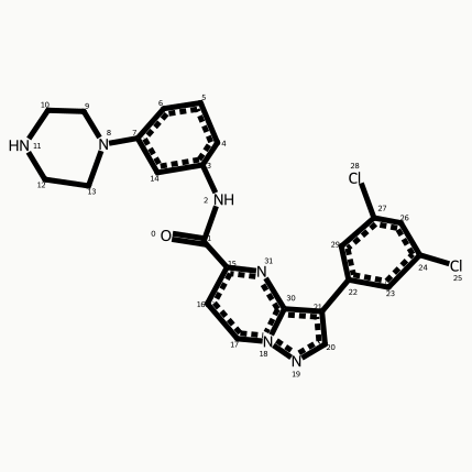 O=C(Nc1cccc(N2CCNCC2)c1)c1ccn2ncc(-c3cc(Cl)cc(Cl)c3)c2n1